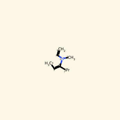 C=CN(C)/C(=C\C)C(C)C